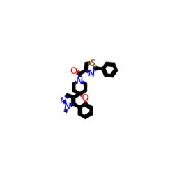 Cn1ncc2c1-c1ccccc1OC21CCN(C(=O)c2csc(-c3ccccc3)n2)CC1